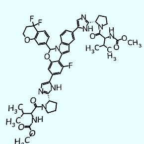 COC(=O)N[C@H](C(=O)N1CCC[C@H]1c1ncc(-c2cc(F)c3c(c2)OC(c2ccc4c(c2)OCCC4(F)F)n2c-3cc3cc(-c4cnc([C@@H]5CCCN5C(=O)[C@@H](NC(=O)OC)C(C)C)[nH]4)ccc32)[nH]1)C(C)C